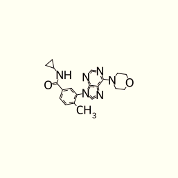 Cc1ccc(C(=O)NC2CC2)cc1-n1cnc2c(N3CCOCC3)ncnc21